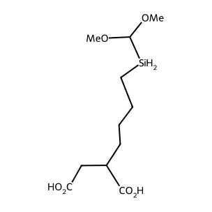 COC(OC)[SiH2]CCCCC(CC(=O)O)C(=O)O